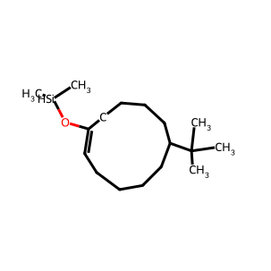 C[SiH](C)OC1=CCCCCC(C(C)(C)C)CCCC1